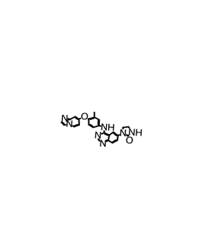 Cc1cc(Nc2ncnc3ccc(N4CCNC4=O)cc23)ccc1Oc1ccn2ccnc2c1